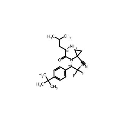 CC(C)C[C@H](N)C(=O)N([C@@H](c1ccc(C(C)(C)C)cc1)C(F)(F)F)C1(C#N)CC1